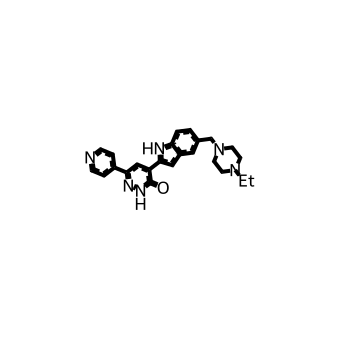 CCN1CCN(Cc2ccc3[nH]c(-c4cc(-c5ccncc5)n[nH]c4=O)cc3c2)CC1